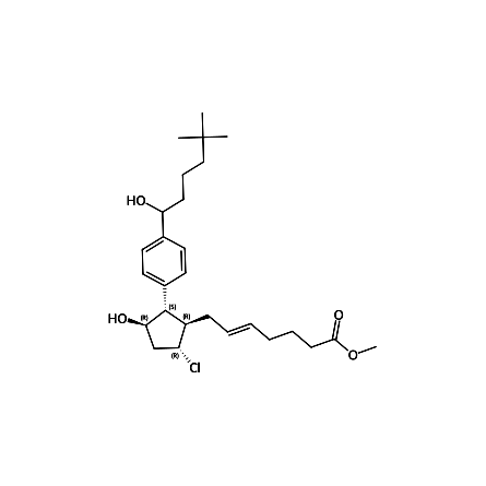 COC(=O)CCCC=CC[C@@H]1[C@@H](c2ccc(C(O)CCCC(C)(C)C)cc2)[C@H](O)C[C@H]1Cl